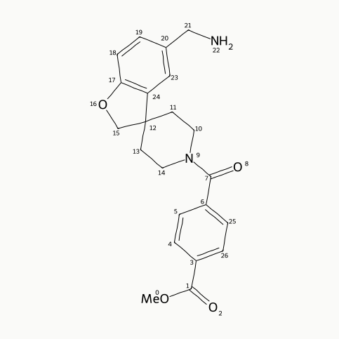 COC(=O)c1ccc(C(=O)N2CCC3(CC2)COc2ccc(CN)cc23)cc1